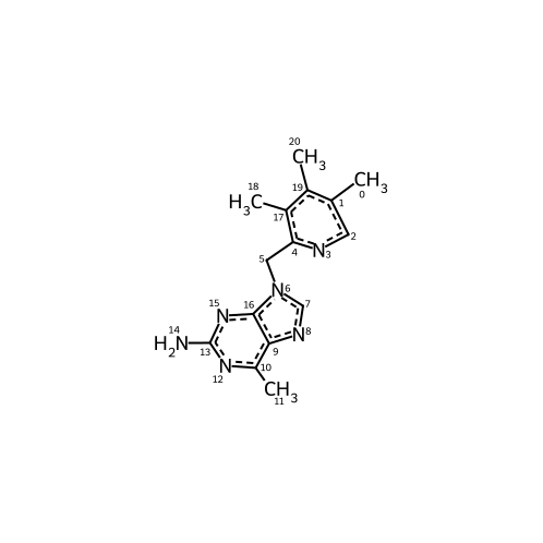 Cc1cnc(Cn2cnc3c(C)nc(N)nc32)c(C)c1C